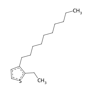 CCCCCCCCCCc1ccsc1CC